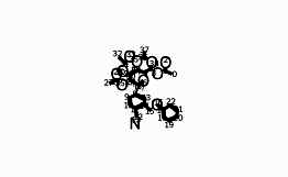 CC(=O)OCC1O[C@@H](c2ccc(C#N)c(COc3ccccc3)c2)[C@H](OC(C)=O)[C@@H](OC(C)=O)[C@@H]1OC(C)=O